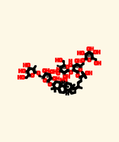 C[C@H]1[C@H](OC[C@H]2O[C@@H](O[C@H]3CC[C@@H]4C(=CC[C@@H]5[C@@]4(C)[C@H](O)C[C@]4(C)[C@@H]([C@H](C)CC[C@@H](O[C@@H]6O[C@H](CO[C@@H]7O[C@H](CO)[C@@H](O)[C@H](O)[C@H]7O)[C@@H](O)[C@H](O)[C@H]6O[C@@H]6O[C@H](CO)[C@@H](C)[C@H](O)[C@H]6O)C(C)(C)O)CC[C@@]54C)C3(C)C)[C@H](O)[C@@H](O)[C@@H]2O)O[C@@H](CO)[C@@H](O)[C@@H]1O